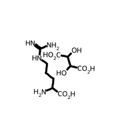 N=C(N)NCCCC(N)C(=O)O.O=C(O)C(O)C(O)C(=O)O